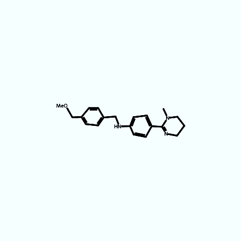 COCc1ccc(CNc2ccc(C3=NCCCN3C)cc2)cc1